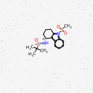 CC(C)(C)[S@@+]([O-])N[C@@H]1CCCc2c1c1ccccc1n2S(C)(=O)=O